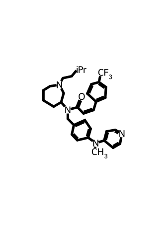 CC(C)CCN1CCCCC(N(Cc2ccc(N(C)c3ccncc3)cc2)C(=O)C=Cc2ccc(C(F)(F)F)cc2)C1